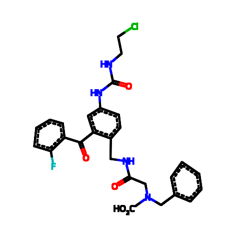 O=C(CN(Cc1ccccc1)C(=O)O)NCc1ccc(NC(=O)NCCCl)cc1C(=O)c1ccccc1F